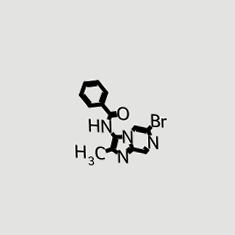 Cc1nc2cnc(Br)cn2c1NC(=O)c1ccccc1